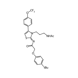 CC(=O)NCCCn1c(-c2ccc(OC(F)(F)F)cc2)cs/c1=N\C(=O)COc1ccc(C(C)(C)C)cc1